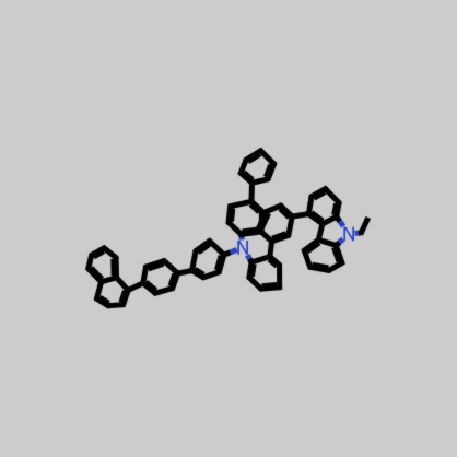 CCn1c2ccccc2c2c(-c3cccc(-c4ccccc4N(c4ccc(-c5ccccc5)cc4)c4ccc(-c5ccc(-c6cccc7ccccc67)cc5)cc4)c3)cccc21